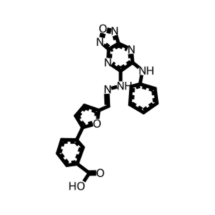 O=C(O)c1cccc(-c2ccc(/C=N/Nc3nc4nonc4nc3Nc3ccccc3)o2)c1